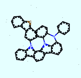 c1ccc(N2c3ccccc3-n3c4c2cccc4c2ccc4c5ccccc5n(-c5ccc6sc7ccccc7c6c5)c4c23)cc1